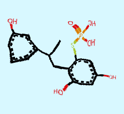 CC(Cc1c(O)cc(O)cc1SP(=O)(O)O)c1cccc(O)c1